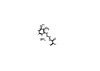 C=C(C)C(=O)OCCCc1cccc(OC)c1OC.[SiH4]